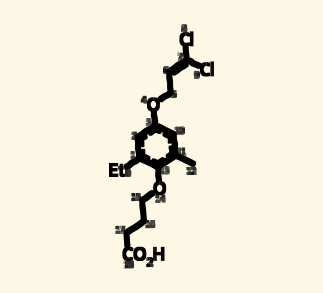 CCc1cc(OCC=C(Cl)Cl)cc(C)c1OCCCC(=O)O